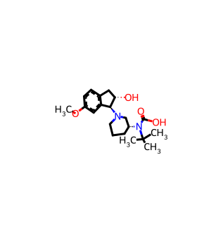 COc1ccc2c(c1)[C@H](N1CCC[C@@H](N(C(=O)O)C(C)(C)C)C1)[C@@H](O)C2